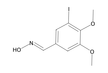 COc1cc(C=NO)cc(I)c1OC